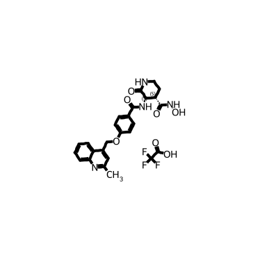 Cc1cc(COc2ccc(C(=O)N[C@@H]3C(=O)NCC[C@@H]3C(=O)NO)cc2)c2ccccc2n1.O=C(O)C(F)(F)F